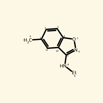 [CH2]c1ccc2onc(NCC)c2c1